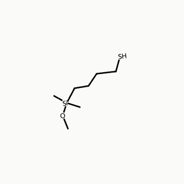 CO[Si](C)(C)CCCCS